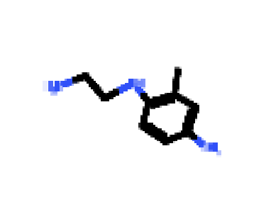 Cc1cc(N)ccc1NCCN